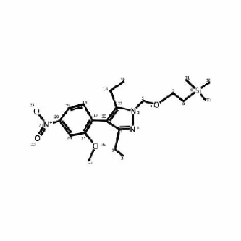 CCc1nn(COCC[Si](C)(C)C)c(CC)c1-c1ccc([N+](=O)[O-])cc1OC